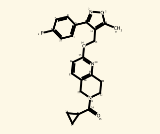 Cc1onc(-c2ccc(F)cc2)c1COc1ccc2c(n1)CCN(C(=O)C1CC1)C2